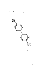 CCc1ccc(-c2ccc(CC)nc2)cn1